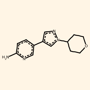 Nc1ccc(-c2cnn(C3CCOCC3)c2)cn1